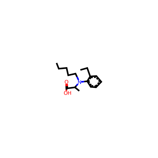 CCCCCN(c1ccccc1CC)C(C)C(=O)O